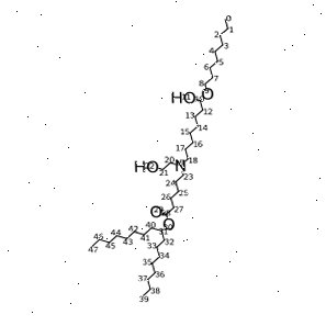 CCCCCCCCCOC(O)CCCCCCCN(CCO)CCCCCC(=O)OC(CCCCCCCC)CCCCCCCC